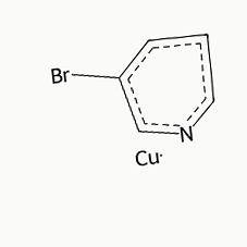 Brc1cccnc1.[Cu]